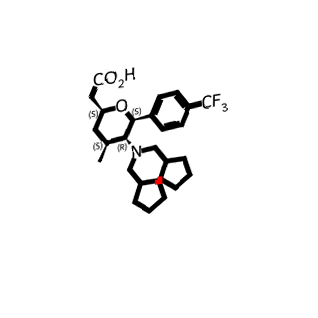 C[C@H]1C[C@@H](CC(=O)O)O[C@@H](c2ccc(C(F)(F)F)cc2)[C@@H]1N(CC1CCCC1)CC1CCCC1